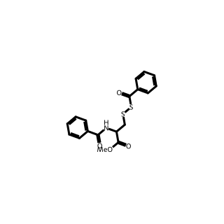 COC(=O)C(CSSC(=O)c1ccccc1)NC(=O)c1ccccc1